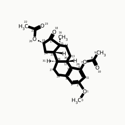 COc1cc2c(c(OC(C)=O)c1)[C@H]1CC[C@]3(C)C(=O)[C@@H](OC(C)=O)C[C@H]3[C@@H]1CC2